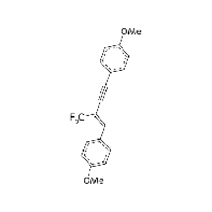 COc1ccc(C#CC(=Cc2ccc(OC)cc2)C(F)(F)F)cc1